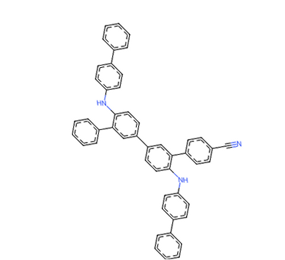 N#Cc1ccc(-c2cc(-c3ccc(Nc4ccc(-c5ccccc5)cc4)c(-c4ccccc4)c3)ccc2Nc2ccc(-c3ccccc3)cc2)cc1